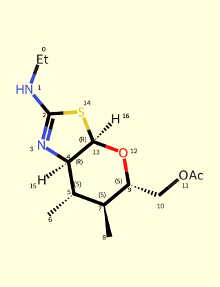 CCNC1=N[C@@H]2[C@@H](C)[C@H](C)[C@@H](COC(C)=O)O[C@@H]2S1